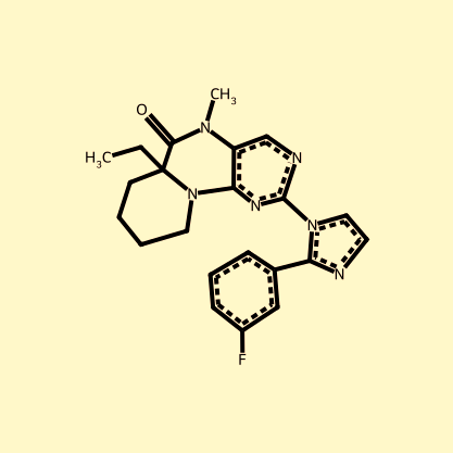 CCC12CCCCN1c1nc(-n3ccnc3-c3cccc(F)c3)ncc1N(C)C2=O